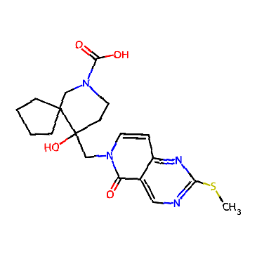 CSc1ncc2c(=O)n(CC3(O)CCN(C(=O)O)CC34CCCC4)ccc2n1